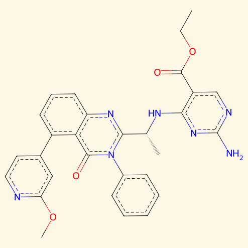 CCOC(=O)c1cnc(N)nc1N[C@H](C)c1nc2cccc(-c3ccnc(OC)c3)c2c(=O)n1-c1ccccc1